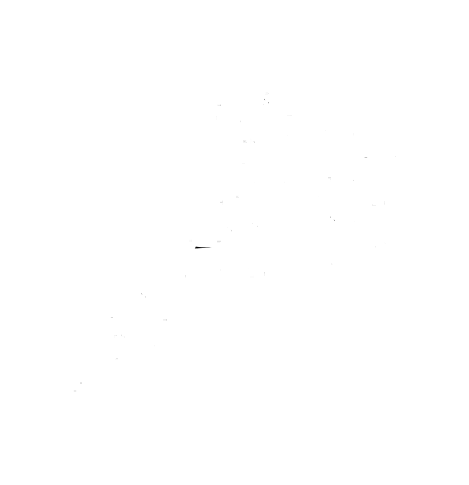 CCN(C(=O)c1cc(F)ccc1-c1cc(C2CN([C@H](CCCN3CCN(CCO)CC3)C(C)C)C2)cn2c(C)ncc12)C(C)C